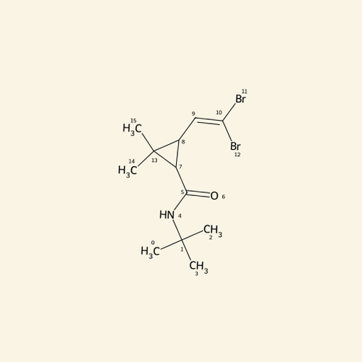 CC(C)(C)NC(=O)C1C(C=C(Br)Br)C1(C)C